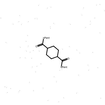 [CH2]CCCCC(=O)C1CCC(C(=O)CCCC[CH2])CC1